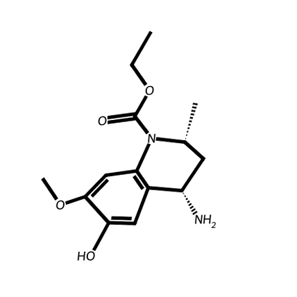 CCOC(=O)N1c2cc(OC)c(O)cc2[C@@H](N)C[C@H]1C